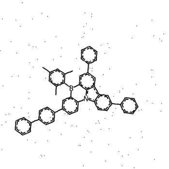 Cc1cc(C)c(B2c3cc(-c4ccc(-c5ccccc5)cc4)ccc3-n3c4ccc(-c5ccccc5)cc4c4cc(-c5ccccc5)cc2c43)c(C)c1